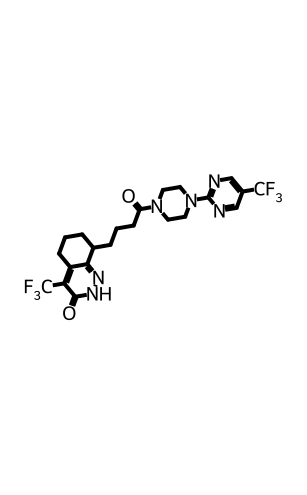 O=C(CCCC1CCCc2c1n[nH]c(=O)c2C(F)(F)F)N1CCN(c2ncc(C(F)(F)F)cn2)CC1